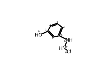 Oc1cccc(NNCl)c1